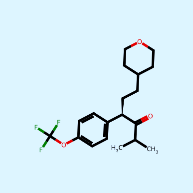 CC(C)C(=O)[C@H](CCC1CCOCC1)c1ccc(OC(F)(F)F)cc1